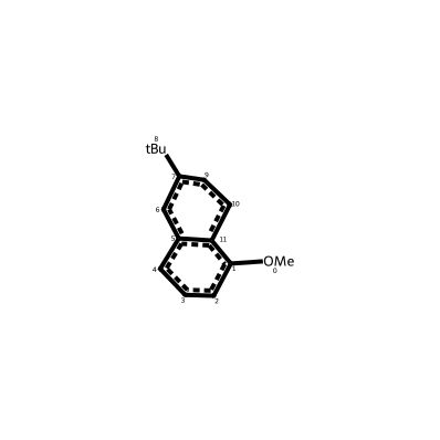 COc1cccc2cc(C(C)(C)C)ccc12